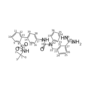 CC(C)(C)NS(=O)(=O)c1ccccc1-c1ccc(NC(=O)N(Cc2cccc(C(=N)N)c2)c2ccccc2)cc1